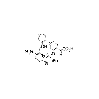 CC(C)(C)[Si](C)(C)OC1CN(c2ccncc2NCc2nc(Br)ccc2N)CCC1NC(=O)O